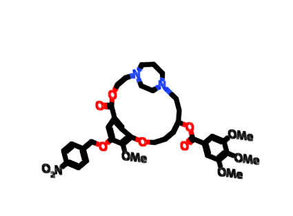 COc1cc(C(=O)OC2CCCOc3cc(cc(OCc4ccc([N+](=O)[O-])cc4)c3OC)C(=O)OCCN3CCCN(CC2)CC3)cc(OC)c1OC